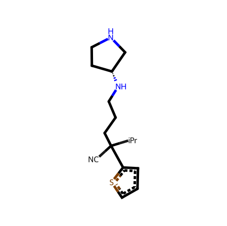 CC(C)C(C#N)(CCCN[C@@H]1CCNC1)c1cccs1